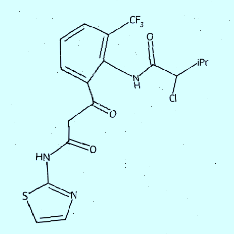 CC(C)C(Cl)C(=O)Nc1c(C(=O)CC(=O)Nc2nccs2)cccc1C(F)(F)F